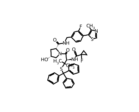 Cc1ncsc1-c1ccc(CNC(=O)[C@H]2C[C@@H](O)CN2C(=O)[C@@H](NC(=O)C2(F)CC2)C(C)(C)SC(c2ccccc2)(c2ccccc2)c2ccccc2)cc1F